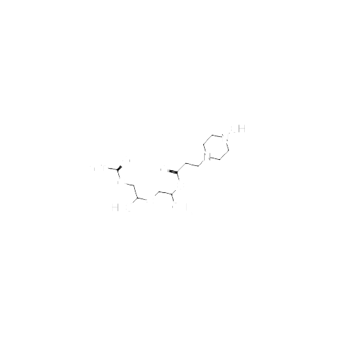 CCCC(=O)OCC(C)OCC(C)OC(=O)CCN1CCN(C)CC1